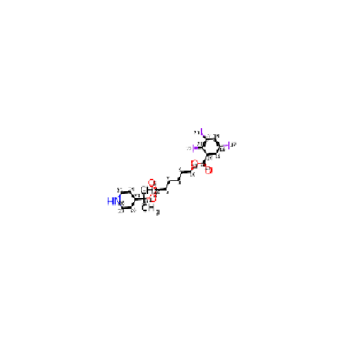 CC(C)(OC(=O)CCCCCOC(=O)c1cc(I)cc(I)c1I)C1CCNCC1